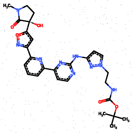 CN1CC[C@@](O)(c2cc(-c3cccc(-c4ccnc(Nc5ccn(CCNC(=O)OC(C)(C)C)n5)n4)n3)no2)C1=O